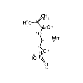 C=C(C)C(=O)OCCO[PH](=O)O.[Mn]